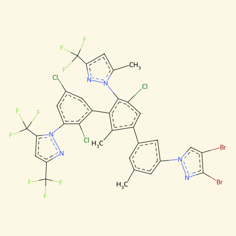 Cc1cc(-c2[c]c(Cl)c(-n3nc(C(F)(F)F)cc3C)c(-c3cc(Cl)cc(-n4nc(C(F)(F)F)cc4C(F)(F)F)c3Cl)c2C)cc(-n2cc(Br)c(Br)n2)c1